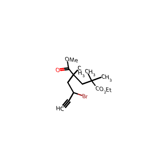 C#CC(Br)CC(C)(CC(C)(C)C(=O)OCC)C(=O)OC